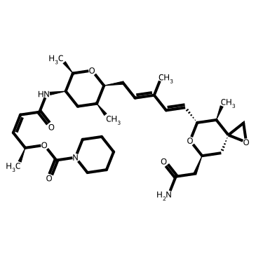 CC(/C=C/[C@H]1O[C@H](CC(N)=O)C[C@@]2(CO2)[C@@H]1C)=C\C[C@@H]1O[C@H](C)[C@H](NC(=O)/C=C\[C@H](C)OC(=O)N2CCCCC2)C[C@@H]1C